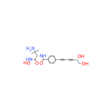 CC(C)(N)[C@H](NC(=O)c1ccc(C#CC#C[C@H](O)CO)cc1)C(=O)NO